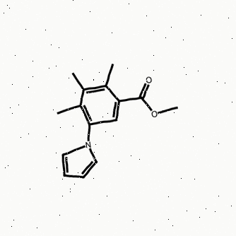 COC(=O)c1cc(-n2cccc2)c(C)c(C)c1C